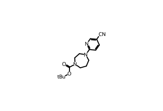 CC(C)(C)OC(=O)N1CCCN(c2ccc(C#N)cn2)CC1